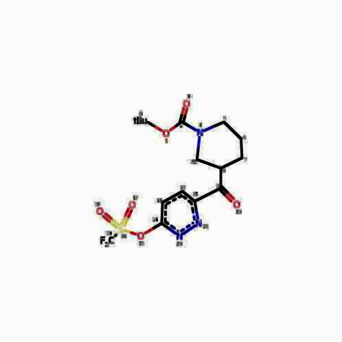 CC(C)(C)OC(=O)N1CCCC(C(=O)c2ccc(OS(=O)(=O)C(F)(F)F)nn2)C1